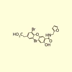 O=C(O)Cc1cc(Br)c(Oc2ccc(O)c(C(=O)NCc3ccco3)c2)c(Br)c1